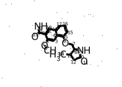 COc1cc2c(OCC3NC(=O)CC3C)cccc2cc1C(N)=O